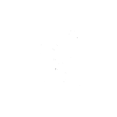 Cc1c(OC[C@H](C)O)nn(-c2ccccc2)c1NC(=O)Nc1c(-c2ccccc2)nc2c(C)cccn12